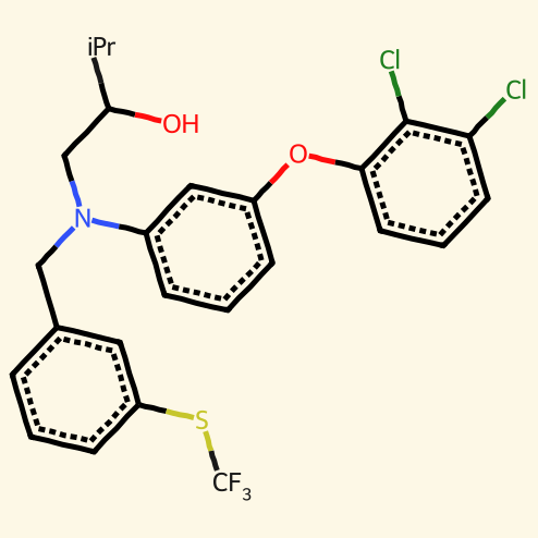 CC(C)C(O)CN(Cc1cccc(SC(F)(F)F)c1)c1cccc(Oc2cccc(Cl)c2Cl)c1